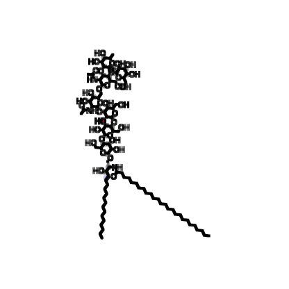 CCCCCCCCCCCCC/C=C/[C@@H](O)[C@H](CO[C@@H]1OC(CO)[C@@H](O[C@@H]2OC(CO)[C@H](O[C@@H]3OC(CO)[C@H](O)[C@H](O[C@@H]4OC(CO[C@@H]5OC(CO)[C@@H](O[C@@H]6OC(CO)[C@H](O)[C@H](O)C6O)[C@H](O[C@H]6C(O)[C@H](O)C(C)O[C@H]6O)C5NC(C)=O)[C@H](O)[C@H](O)C4NC(C)=O)C3O)[C@H](O)C2O)[C@H](O)C1O)NC(=O)CCCCCCCCCCCCCCCCCCCCCCCCC